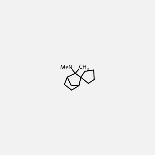 CNC1(C)C2CCC(C2)C12CCCC2